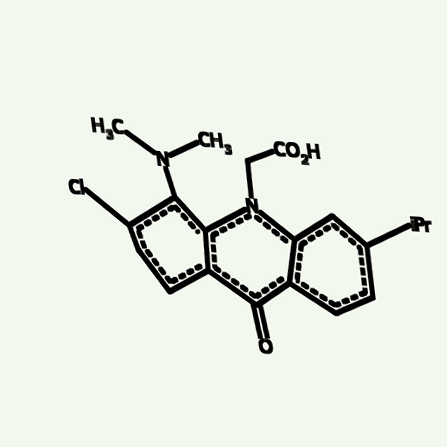 CC(C)c1ccc2c(=O)c3ccc(Cl)c(N(C)C)c3n(CC(=O)O)c2c1